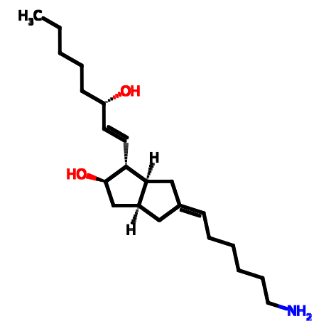 CCCCC[C@H](O)/C=C/[C@@H]1[C@H]2CC(=CCCCCCN)C[C@H]2C[C@H]1O